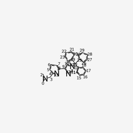 CN(C)Cc1cccc(-c2cn(C(c3ccccc3)(c3ccccc3)c3ccccc3)cn2)n1